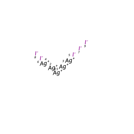 [Ag+].[Ag+].[Ag+].[Ag+].[Ag+].[I-].[I-].[I-].[I-].[I-]